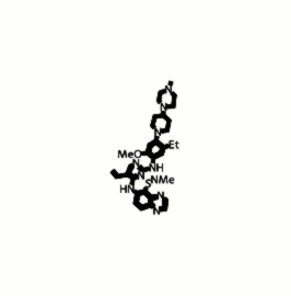 C=Cc1cnc(Nc2cc(CC)c(N3CCC(N4CCN(C)CC4)CC3)cc2OC)nc1Nc1ccc2nccnc2c1SNC